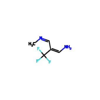 C/N=C\C(=C/N)C(F)(F)F